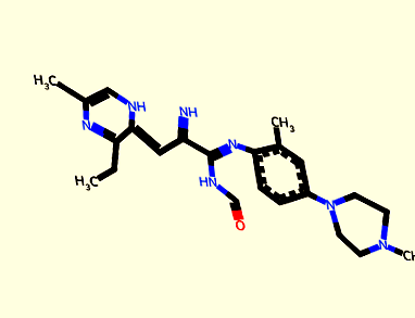 CCC1=NC(C)=CN/C1=C\C(=N)/C(=N/c1ccc(N2CCN(C)CC2)cc1C)NC=O